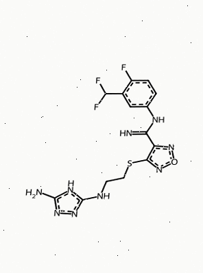 N=C(Nc1ccc(F)c(C(F)F)c1)c1nonc1SCCNc1nnc(N)[nH]1